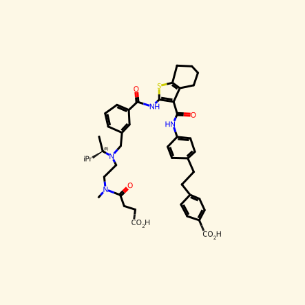 CC(C)[C@@H](C)N(CCN(C)C(=O)CCC(=O)O)Cc1cccc(C(=O)Nc2sc3c(c2C(=O)Nc2ccc(CCc4ccc(C(=O)O)cc4)cc2)CCCC3)c1